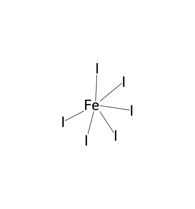 [I][Fe]([I])([I])([I])([I])[I]